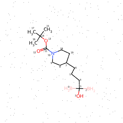 BC(B)(O)CCCC1CCN(C(=O)OC(C)(C)C)CC1